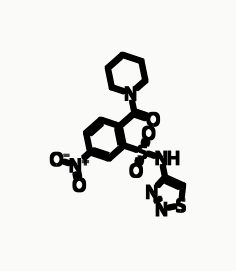 O=C(c1ccc([N+](=O)[O-])cc1S(=O)(=O)Nc1csnn1)N1CCCCC1